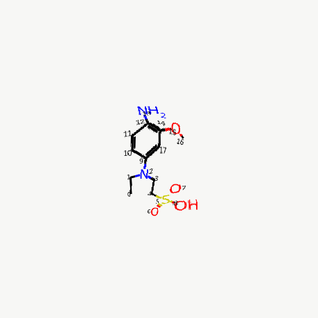 CCN(CCS(=O)(=O)O)c1ccc(N)c(OC)c1